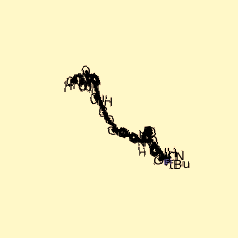 CC(C)(C)/C=C(\C#N)C(=O)Nc1cccc(Oc2nc(Nc3ccc(N4CCN(C(=O)CCOCCOCCNC(=O)CNc5cccc6c5C(=O)N(C5CCC(=O)NC5=O)C6=O)CC4)cc3)nc3ccoc23)c1